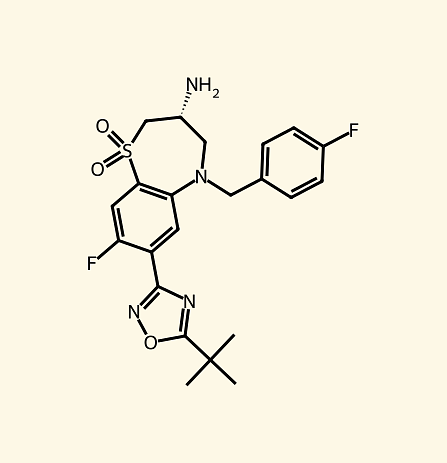 CC(C)(C)c1nc(-c2cc3c(cc2F)S(=O)(=O)C[C@H](N)CN3Cc2ccc(F)cc2)no1